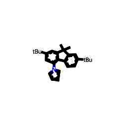 CC(C)(C)c1ccc2c(c1)C(C)(C)c1cc(C(C)(C)C)cc(-n3cccc3)c1-2